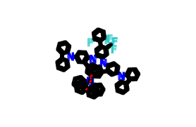 Fc1cccc(F)c1-c1cc(-n2c3ccc(-n4c5ccccc5c5ccccc54)cc3c3cc(-n4c5ccccc5c5ccccc54)ccc32)c(-n2c3ccc(-n4c5ccccc5c5ccccc54)cc3c3cc(-n4c5ccccc5c5ccccc54)ccc32)cc1C(F)(F)F